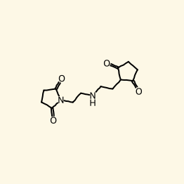 O=C1CCC(=O)C1CCNCCN1C(=O)CCC1=O